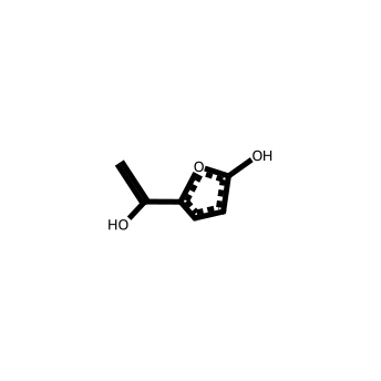 C=C(O)c1ccc(O)o1